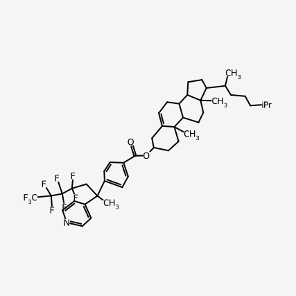 CC(C)CCCC(C)C1CCC2C3CC=C4CC(OC(=O)c5ccc(C(C)(CC(F)(F)C(F)(F)C(F)(F)C(F)(F)F)c6ccncc6)cc5)CCC4(C)C3CCC12C